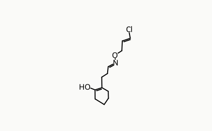 OC1=C(CC/C=N/OC/C=C/Cl)CCCC1